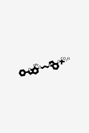 CCCc1c(OCCCn2ccc3c(OC(C)(C)C(=O)O)cccc32)ccc2cc(-c3ccccc3)oc12